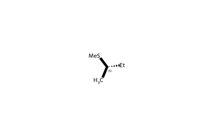 CC[C@H](C)SC